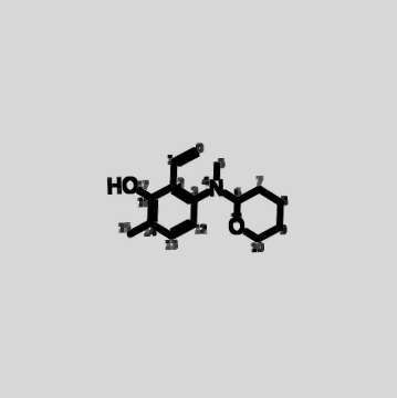 C=Cc1c(N(C)C2CCCCO2)ccc(C)c1O